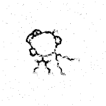 C=C1/C=C\c2ccc3ccc(nc3c2N)-c2cccc(n2)CN(C(C(=O)OCC)C(=O)OCC)CCN(C(COOCC)COOCC)Cc2cccc1n2